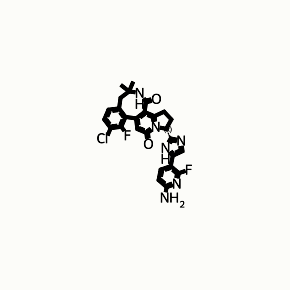 CC1(C)Cc2ccc(Cl)c(F)c2-c2cc(=O)n3c(c2C(=O)N1)CC[C@@H]3c1ncc(-c2ccc(N)nc2F)[nH]1